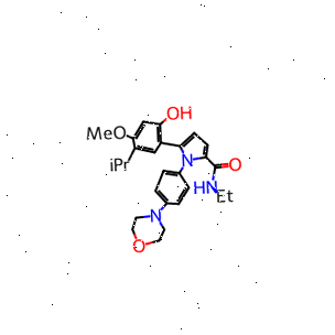 CCNC(=O)c1ccc(-c2cc(C(C)C)c(OC)cc2O)n1-c1ccc(N2CCOCC2)cc1